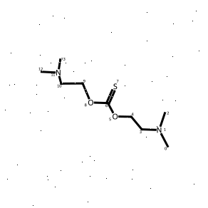 CN(C)CCOC(=S)OCCN(C)C